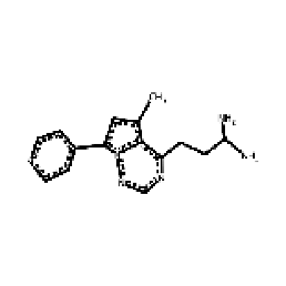 Cc1cc(-c2ccncc2)n2ncnc(CCC(N)N)c12